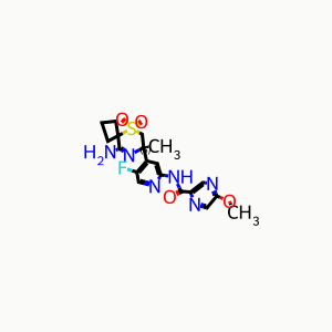 COc1cnc(C(=O)Nc2cc([C@@]3(C)CS(=O)(=O)C4(CCC4)C(N)=N3)c(F)cn2)cn1